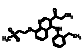 CCC(=O)c1cnc2c(OCCS(C)(=O)=O)cccc2c1Nc1ccccc1CC